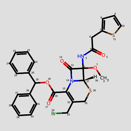 COC1(NC(=O)Cc2cccs2)C(=O)N2C(C(=O)OC(c3ccccc3)c3ccccc3)=C(CBr)CS[C@H]21